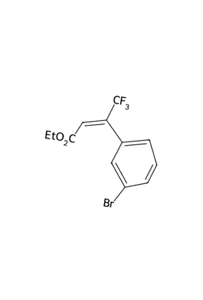 CCOC(=O)/C=C(\c1cccc(Br)c1)C(F)(F)F